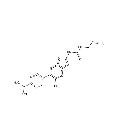 C=CCNC(=O)Nc1nc2cc(-c3cnc(C(C)O)nc3)c(C)nc2s1